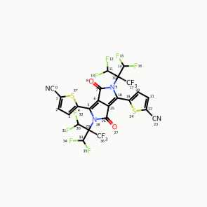 N#Cc1ccc(C2=C3C(=O)N(C(C(F)F)(C(F)F)C(F)(F)F)C(c4ccc(C#N)s4)=C3C(=O)N2C(C(F)F)(C(F)F)C(F)(F)F)s1